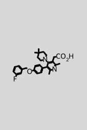 Cc1nc(C)c(-c2ccc(OCc3cccc(F)c3)cc2)c(N2CCC(C)(C)CC2)c1CC(=O)O